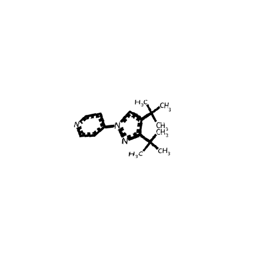 CC(C)(C)c1cn(-c2ccncc2)nc1C(C)(C)C